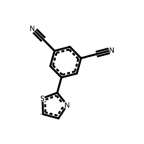 N#Cc1cc(C#N)cc(-c2nc[c]s2)c1